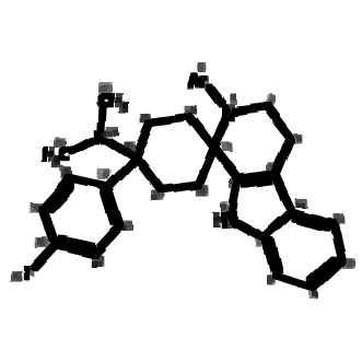 CC(=O)N1CCc2c([nH]c3ccccc23)C12CCC(c1ccc(F)cc1)(N(C)C)CC2